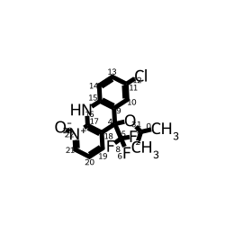 CC(C)OC1(C(F)(F)F)c2cc(Cl)ccc2Nc2c1ccc[n+]2[O-]